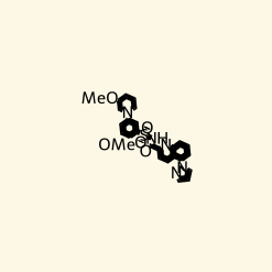 COc1ccc(N2CCCC(OC)C2)cc1S(=O)(=O)NC(=O)c1ccc2c(-n3cccn3)cccc2n1